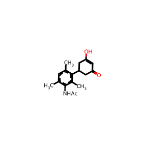 CC(=O)Nc1c(C)cc(C)c(C2CC(=O)C=C(O)C2)c1C